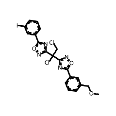 COCc1cccc(-c2nc(C(Cl)(CCl)c3noc(-c4cccc(I)c4)n3)no2)c1